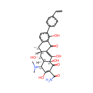 C=Cc1ccc(-c2ccc3c(c2O)C(=O)C2=C(O)[C@]4(O)C(=O)C(C(N)=O)=C(O)[C@@H](N(C)C)[C@H]4[C@H](O)[C@@H]2[C@@H]3C)cc1